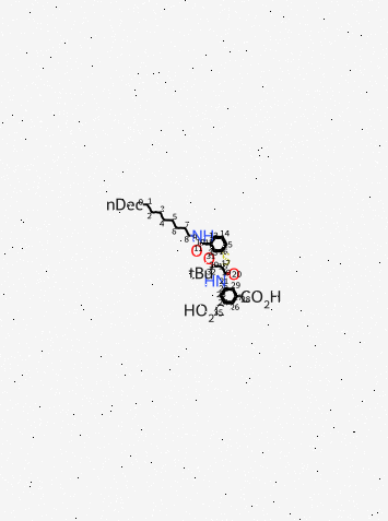 CCCCCCCCCCCCCCCCCCNC(=O)c1cccc(SC(C(=O)Nc2cc(C(=O)O)cc(C(=O)O)c2)C(=O)C(C)(C)C)c1